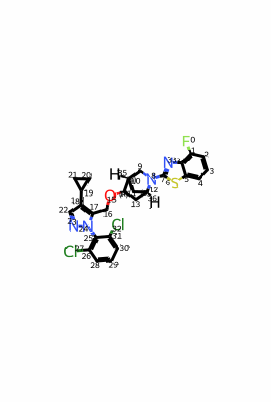 Fc1cccc2sc(N3C[C@@H]4C[C@H]3C[C@H]4OCc3c(C4CC4)cnn3-c3c(Cl)cccc3Cl)nc12